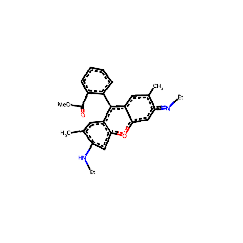 CC/N=c1/cc2oc3cc(NCC)c(C)cc3c(-c3ccccc3C(=O)OC)c-2cc1C